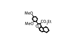 CCOC(=O)c1c(-c2ccc(OC)cc2OC)oc2ccc3ccccc3c12